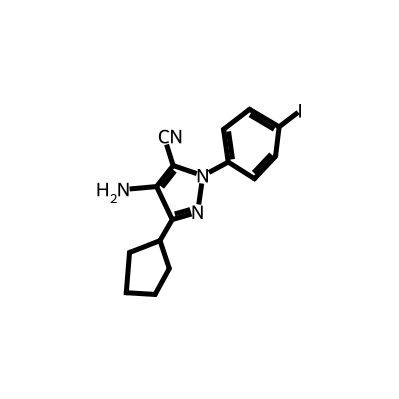 N#Cc1c(N)c(C2CCCC2)nn1-c1ccc(I)cc1